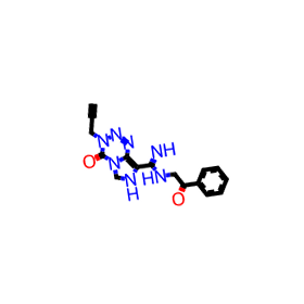 C#CCN1N=NC2=C(C(=N)NCC(=O)c3ccccc3)NCN2C1=O